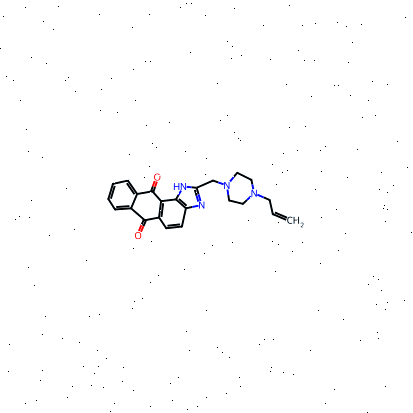 C=CCN1CCN(Cc2nc3ccc4c(c3[nH]2)C(=O)c2ccccc2C4=O)CC1